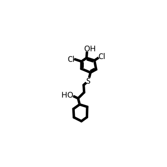 Oc1c(Cl)cc(SCCC(O)C2CCCCC2)cc1Cl